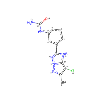 CC(C)(C)c1nn2nc(-c3cccc(NC(N)=O)c3)[nH]c2c1Cl